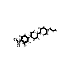 CCC[C@H]1CC[C@H]([C@H]2CC[C@H](c3ccc([N+](=O)[O-])c(F)c3)CC2)CC1